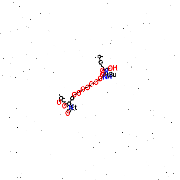 CCN(c1cc(-c2ccc(OCCOCCOCCOCCOCCOCCOCC(=O)N[C@H](C(=O)N3C[C@H](O)C[C@H]3C(=O)CCc3ccc(C4=C(C)C=CC4)cc3)C(C)(C)C)cc2)cc(C(=O)CCC2=C(C)C=C(C)CC2=O)c1C)C1CCOCC1